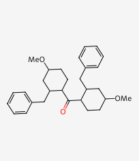 COC1CCC(C(=O)C2CCC(OC)CC2Cc2ccccc2)C(Cc2ccccc2)C1